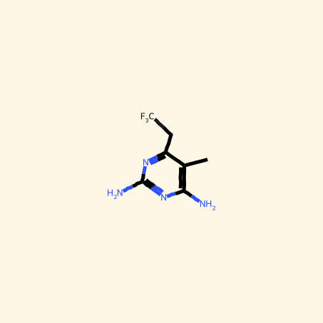 Cc1c(N)nc(N)nc1CC(F)(F)F